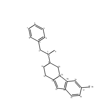 CN(Cc1ccccc1)C1CCc2cc3ccc(F)cc3n2C1